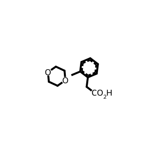 C1COCCO1.Cc1ccccc1CC(=O)O